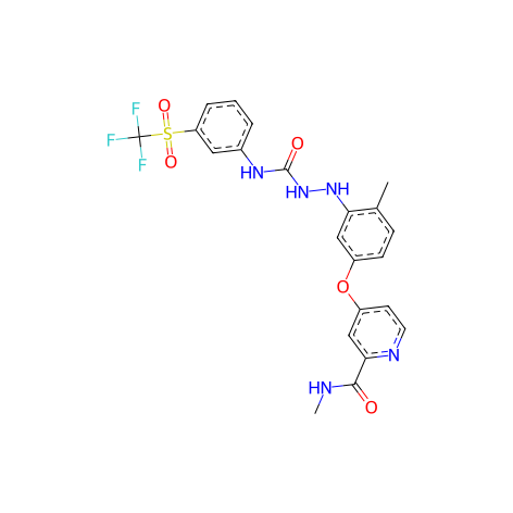 CNC(=O)c1cc(Oc2ccc(C)c(NNC(=O)Nc3cccc(S(=O)(=O)C(F)(F)F)c3)c2)ccn1